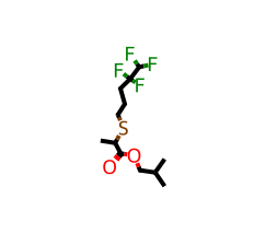 CC(C)COC(=O)C(C)SCCCC(F)(F)C(F)F